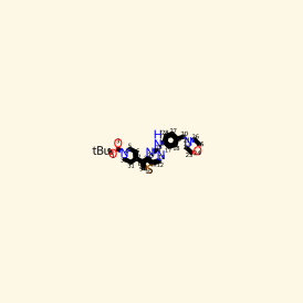 CC(C)(C)OC(=O)N1CC=C(c2csc3cnc(Nc4ccc(CN5CCOCC5)cc4)nc23)CC1